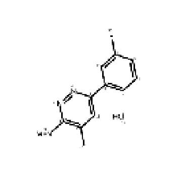 CNc1nnc(-c2cccc(F)c2)cc1C.Cl